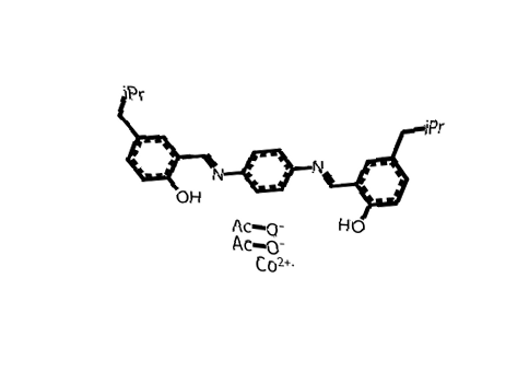 CC(=O)[O-].CC(=O)[O-].CC(C)Cc1ccc(O)c(C=Nc2ccc(N=Cc3cc(CC(C)C)ccc3O)cc2)c1.[Co+2]